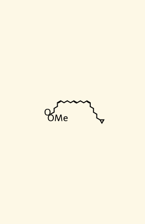 COC(=O)CCC/C=C\CCC/C=C/CC/C=C\CCCCCC1CC1